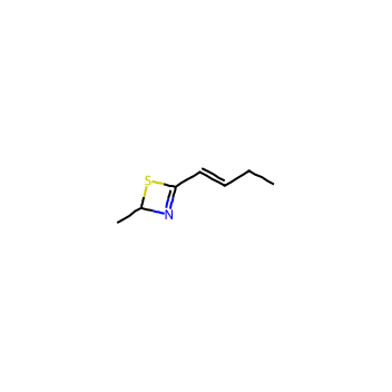 CC/C=C/C1=NC(C)S1